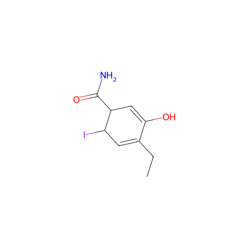 CCC1=CC(I)C(C(N)=O)C=C1O